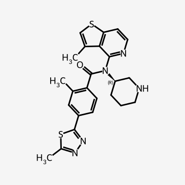 Cc1nnc(-c2ccc(C(=O)N(c3nccc4scc(C)c34)[C@@H]3CCCNC3)c(C)c2)s1